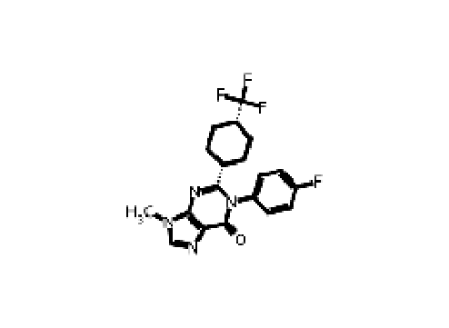 Cn1cnc2c(=O)n(-c3ccc(F)cc3)c([C@H]3CC[C@@H](C(F)(F)F)CC3)nc21